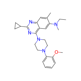 CCN(C)c1cc2c(N3CCN(c4ccccc4OC)CC3)nc(C3CC3)nc2cc1C